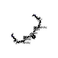 C/C=C\CCCC(=O)O[C@H](C)CCOC[C@H](COP(=O)(O)OCCNC(=O)c1ccccc1C(=O)NCCOP(=O)(O)OC[C@@H](COCC[C@@H](C)OC(=O)CCC/C=C\C)NC(C)=O)NC(C)=O